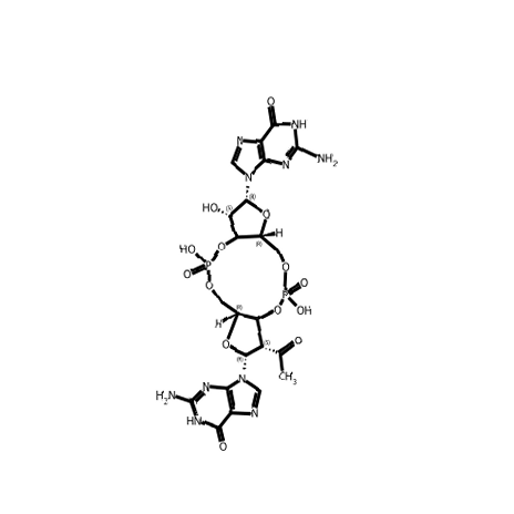 CC(=O)[C@H]1C2OP(=O)(O)OC[C@H]3O[C@@H](n4cnc5c(=O)[nH]c(N)nc54)[C@@H](O)C3OP(=O)(O)OC[C@H]2O[C@H]1n1cnc2c(=O)[nH]c(N)nc21